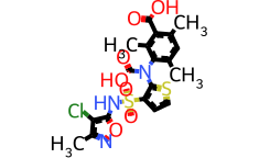 Cc1cc(C)c(N(C(=O)O)c2sccc2S(=O)(=O)Nc2onc(C)c2Cl)c(C)c1C(=O)O